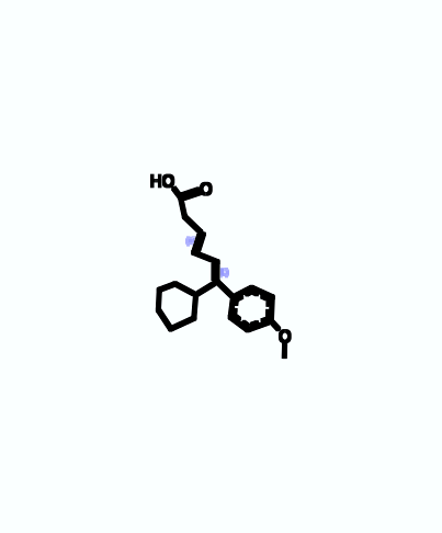 COc1ccc(/C(=C/C=C/CC(=O)O)C2CCCCC2)cc1